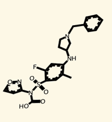 Cc1cc(S(=O)(=O)N(C(=O)O)c2ccon2)c(F)cc1NC1CCN(Cc2ccccc2)C1